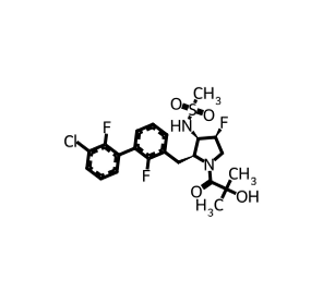 CC(C)(O)C(=O)N1C[C@H](F)[C@H](NS(C)(=O)=O)[C@@H]1Cc1cccc(-c2cccc(Cl)c2F)c1F